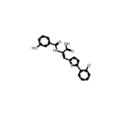 O=C(O)/C(=C\c1ccc(-c2ccccc2Cl)s1)NC(=O)c1cccc(O)c1